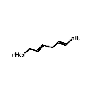 [CH2]CCCCCCC=CCC=CCCCC